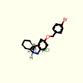 Brc1ccc(COc2ccc3c(c2)[C@@]24CCCC[C@H]2[C@@H](C3)NCC4)cc1.Cl